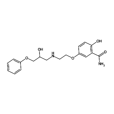 NC(=O)c1cc(OCCNCC(O)COc2ccccc2)ccc1O